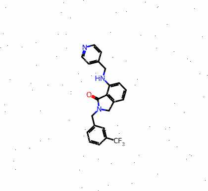 O=C1c2c(cccc2NCc2ccncc2)CN1Cc1cccc(C(F)(F)F)c1